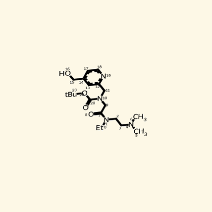 CCN(CCN(C)C)C(=O)CN(Cc1cc(CO)ccn1)C(=O)OC(C)(C)C